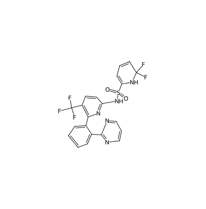 O=S(=O)(Nc1ccc(C(F)(F)F)c(-c2ccccc2-c2ncccn2)n1)C1=CC=CC(F)(F)N1